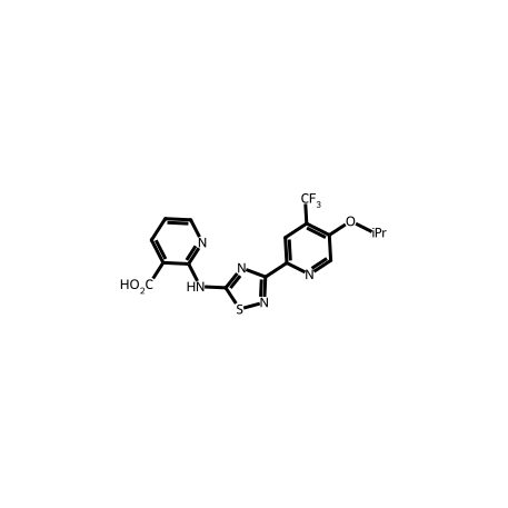 CC(C)Oc1cnc(-c2nsc(Nc3ncccc3C(=O)O)n2)cc1C(F)(F)F